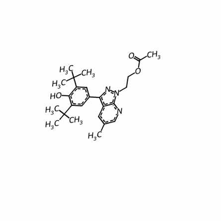 CC(=O)OCCn1nc(-c2cc(C(C)(C)C)c(O)c(C(C)(C)C)c2)c2cc(C)cnc21